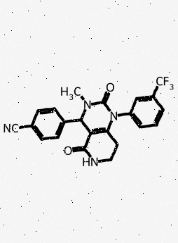 CN1C(=O)N(c2cccc(C(F)(F)F)c2)C2=C(C(=O)NCC2)C1c1ccc(C#N)cc1